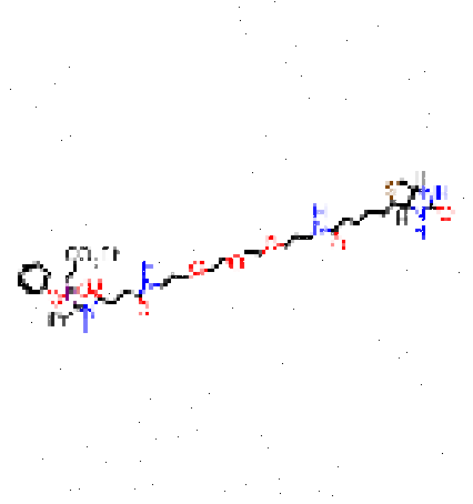 CCOC(=O)CC[P@@](=O)(Oc1ccccc1)[C@@H](NC(=O)CCC(=O)NCCCOCCOCCOCCCNC(=O)CCCCC1SC[C@@H]2NC(=O)N[C@H]12)C(C)C